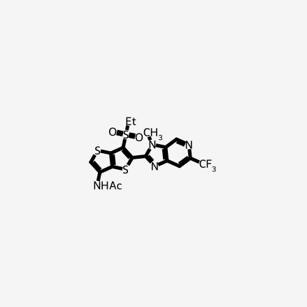 CCS(=O)(=O)c1c(-c2nc3cc(C(F)(F)F)ncc3n2C)sc2c(NC(C)=O)csc12